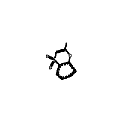 CC1=CS(=O)(=O)c2ccccc2O1